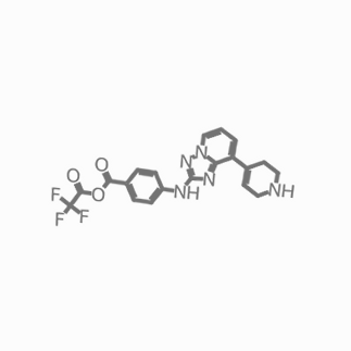 O=C(OC(=O)C(F)(F)F)c1ccc(Nc2nc3c(C4=CCNCC4)cccn3n2)cc1